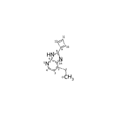 CCc1ccnc2[nH]c(C3=CC=C3)nc12